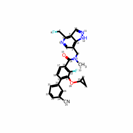 CN(Cc1cnc(CF)c2cn[nH]c12)C(=O)c1ccc(-c2cccc(C#N)c2)c(OC2CC2)c1F